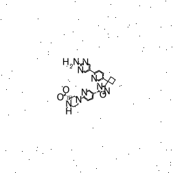 COC(=O)[C@@H]1CN(c2ccc(-c3nc(C4(c5ccc(-c6cnc(N)nc6)nc5)CCC4)no3)cn2)CCN1